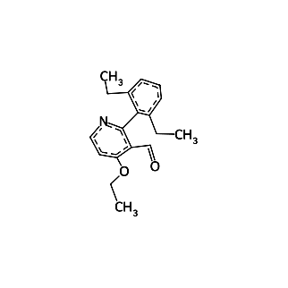 CCOc1ccnc(-c2c(CC)cccc2CC)c1C=O